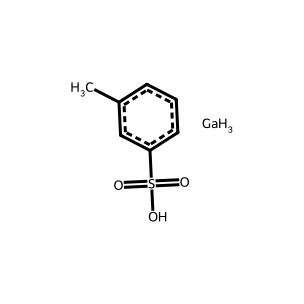 Cc1cccc(S(=O)(=O)O)c1.[GaH3]